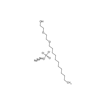 CCCCCCCCCCCCOCCOCCO.O=P([O-])([O-])[O-].[Na+].[Na+].[Na+]